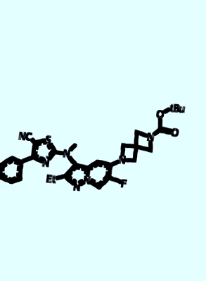 CCc1nn2cc(F)c(N3CC4(CN(C(=O)OC(C)(C)C)C4)C3)cc2c1N(C)c1nc(-c2ccc(F)cc2)c(C#N)s1